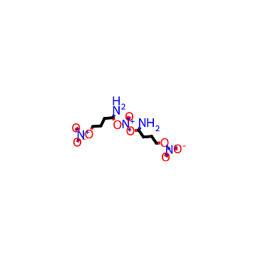 NC(CCCO[N+](=O)[O-])O[N+](=O)OC(N)CCCO[N+](=O)[O-]